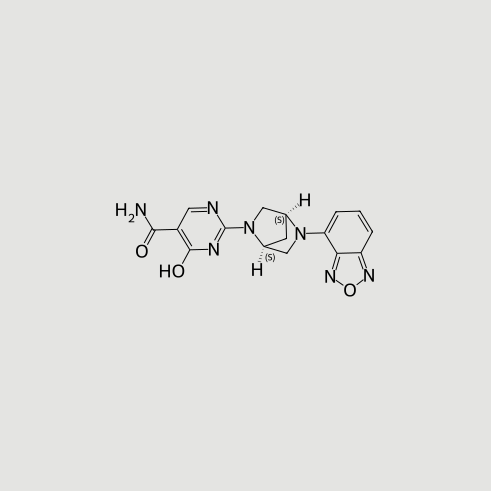 NC(=O)c1cnc(N2C[C@@H]3C[C@H]2CN3c2cccc3nonc23)nc1O